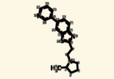 CC1CCCN1CCc1nc2ccc(-c3cccnc3)cc2s1